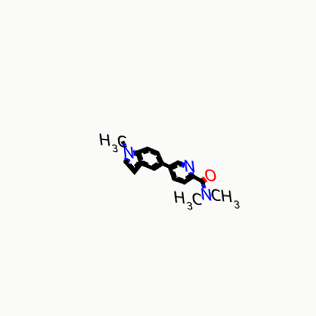 CN(C)C(=O)c1ccc(-c2ccc3c(ccn3C)c2)cn1